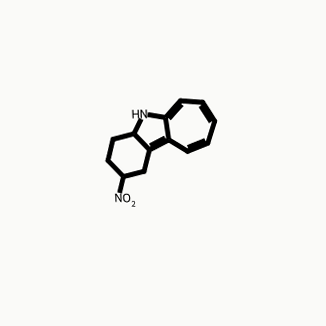 O=[N+]([O-])C1CCC2NC3=CC=CC=CC3=C2C1